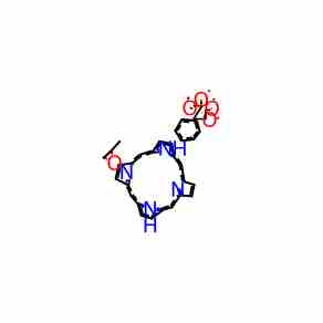 C1=Cc2cc3ccc(cc4nc(cc5ccc(cc1n2)[nH]5)C=C4)[nH]3.CC1CO1.C[O][Zr]([O]C)([O]C)([O]C)[c]1ccccc1